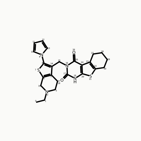 CCN1CCc2c(sc(-n3cccc3)c2Cn2c(=O)[nH]c3sc4c(c3c2=O)CCCC4)C1